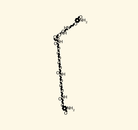 Nc1cc(OCCCCNCCCONCOCC2OCCC(NC(=O)CCOCCOCCOCCOCCOCCC(=O)NCCCOCCOCCOCCCNC(=O)CCCOc3ccc(C=O)c(N)c3)O2)ccc1C=O